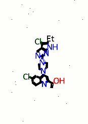 C=C(O)c1cc(N2CCN(c3ncc4c(Cl)c(CC)[nH]c4n3)CC2)c2cc(Cl)ccc2n1